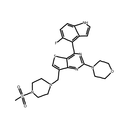 CS(=O)(=O)N1CCN(Cc2csc3c(-c4c(F)ccc5[nH]ccc45)nc(N4CCOCC4)nc23)CC1